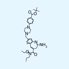 CCCN(OCC)C(=O)C1=Cc2sc(CN3CCN(c4ccc(C(=O)OC(C)(C)C)cc4)CC3)cc2N=C(N)C1